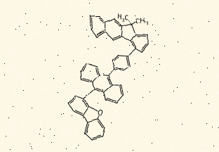 CC1(C)c2cc3ccccc3cc2-c2c(-c3ccc(-c4c5ccccc5c(-c5cccc6c5oc5ccccc56)c5ccccc45)cc3)cccc21